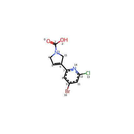 O=C(O)N1CC=C(c2cc(Br)cc(Cl)n2)C1